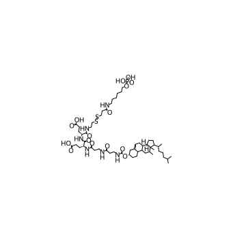 CC(C)CCCC(C)C1CC[C@H]2[C@@H]3CC=C4C[C@@H](OC(=O)NCCC(=O)NCCC(=O)N[C@@H](CCC(=O)O)C(=O)N[C@@H](CCC(=O)O)C(=O)NCCSSCCC(=O)NCCCCCCOP(=O)(O)O)CCC4C3CC(C)C12C